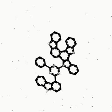 c1ccc(-c2nc(-c3cccc4oc5ccccc5c34)nc(-n3c4ccccc4c4c5oc6ccccc6c5c5c(ccc6oc7ccccc7c65)c43)n2)cc1